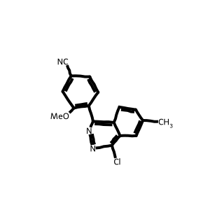 COc1cc(C#N)ccc1-c1nnc(Cl)c2cc(C)ccc12